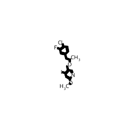 COc1cc(I)c(CO[C@H](C)Cc2ccc(Cl)c(F)c2)cn1